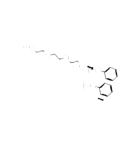 C=C.C=C.OCCOCCOCCO.Oc1ccccc1.Oc1ccccc1